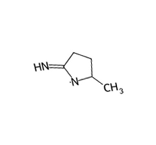 CC1CCC(=N)[N]1